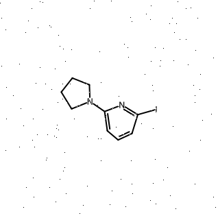 Ic1cccc(N2CCCC2)n1